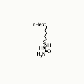 CCCCCCCCCCCCSNNC(N)=O